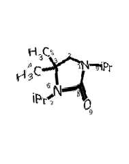 CC(C)N1CC(C)(C)N(C(C)C)C1=O